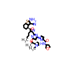 CCCCc1c(-c2nc(O[C@@H](C)[C@@H]3CCCN3C)cc(-n3ccc(C(=O)N[C@@H]4CCOC4)n3)n2)noc1[C@H]1CCCc2sc(N)c(C#N)c21